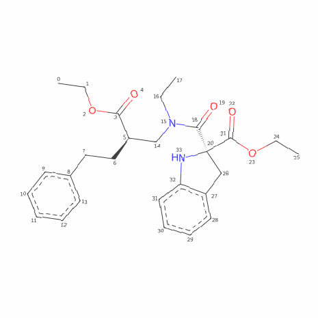 CCOC(=O)[C@H](CCc1ccccc1)CN(CC)C(=O)[C@]1(C(=O)OCC)Cc2ccccc2N1